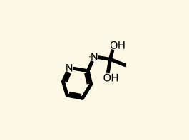 CC(O)(O)[N]c1ccccn1